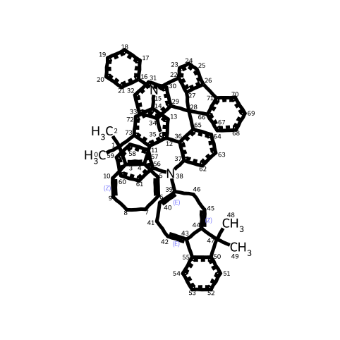 CC1(C)C2=C(C=CCC/C=C\2)c2ccc(N(c3ccccc3)c3cccc4c3C3(c5ccccc5Sc5c(N(/C6=C/C/C=C7\C(=C/C6)C(C)(C)c6ccccc67)c6ccccc6)cccc53)c3ccccc3-4)cc21